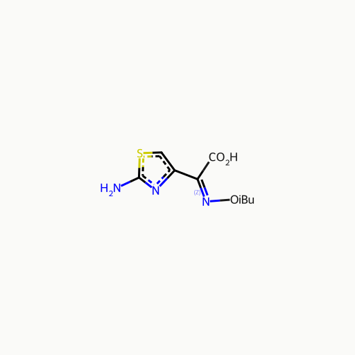 CC(C)CO/N=C(\C(=O)O)c1csc(N)n1